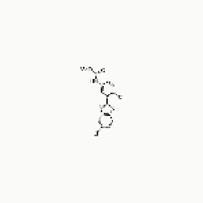 COC(=O)Nc1ccc(Cl)c(-c2nc3cc(Cl)ccc3s2)c1